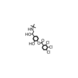 CC(C)(C)NCC(O)c1ccc(OC(=O)c2ccc(Cl)c(Cl)c2Cl)c(O)c1